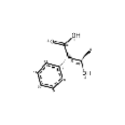 C[C@@H](O)[C@@H](C(=O)O)c1ccccc1